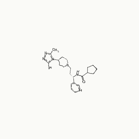 Cc1nnc(C(C)C)n1C1CCN(CC[C@H](NC(=O)C2CCCC2)c2cccnc2)CC1